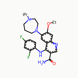 CCOc1cc2ncc(C(N)=O)c(Nc3ccc(F)cc3F)c2cc1N1CCCN(C(C)C)CC1